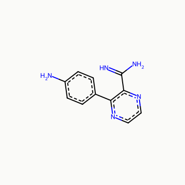 N=C(N)c1nccnc1-c1ccc(N)cc1